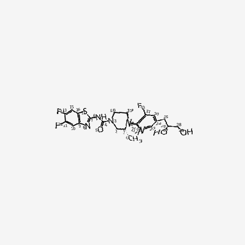 C[C@@H]1CN(C(=O)Nc2nc3cc(F)c(F)cc3s2)CCN1c1ncc(C[C@H](O)CO)cc1F